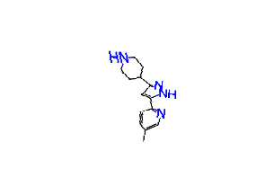 Cc1ccc(-c2cc(C3CCNCC3)n[nH]2)nc1